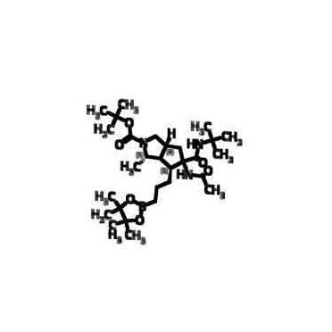 CC(=O)NC1(C(=O)NC(C)(C)C)C[C@H]2CN(C(=O)OC(C)(C)C)[C@@H](C)C2[C@@H]1CCCB1OC(C)(C)C(C)(C)O1